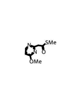 COc1ccnc(CC(=O)SC)n1